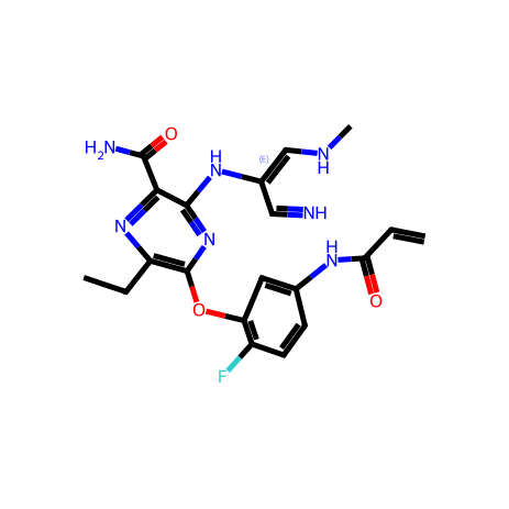 C=CC(=O)Nc1ccc(F)c(Oc2nc(N/C(C=N)=C/NC)c(C(N)=O)nc2CC)c1